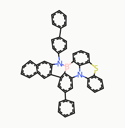 c1ccc(-c2ccc(N3B4c5cccc6c5N(c5ccccc5S6)c5cc(-c6ccccc6)cc(c54)-c4cc5ccccc5cc43)cc2)cc1